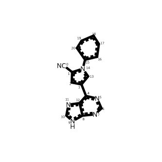 N#Cc1cc(-c2ncnc3[nH]cnc23)cn1-c1ccccc1